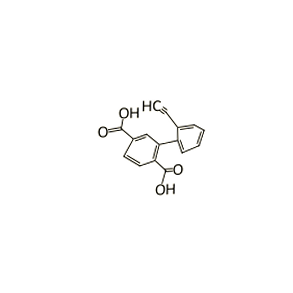 C#Cc1ccccc1-c1cc(C(=O)O)ccc1C(=O)O